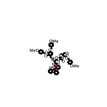 COc1ccc(COC(=O)C2=C(CCl)CS[C@H]3C(NC(=O)/C(=N\OCc4ccc(OCc5ccc(OC)cc5)c(OCc5ccc(OC)cc5)c4Cl)c4csc(NC(c5ccccc5)(c5ccccc5)c5ccccc5)n4)C(=O)N23)cc1